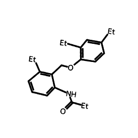 CCC(=O)Nc1cccc(CC)c1COc1ccc(CC)cc1CC